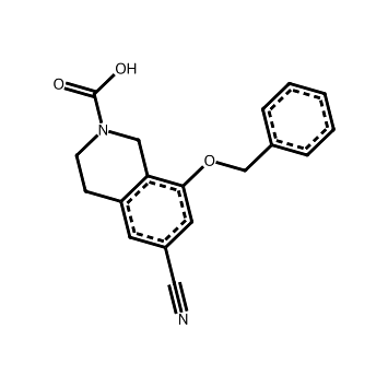 N#Cc1cc2c(c(OCc3ccccc3)c1)CN(C(=O)O)CC2